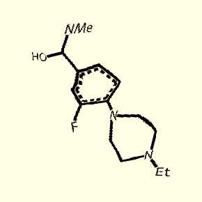 CCN1CCN(c2ccc(C(O)NC)cc2F)CC1